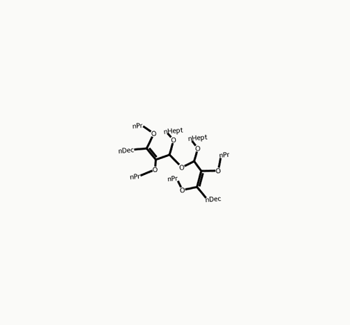 CCCCCCCCCCC(OCCC)=C(OCCC)C(OCCCCCCC)OC(OCCCCCCC)C(OCCC)=C(CCCCCCCCCC)OCCC